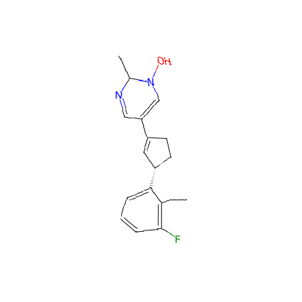 Cc1c(F)cccc1[C@@H]1C=C(C2=CN(O)C(C)N=C2)CC1